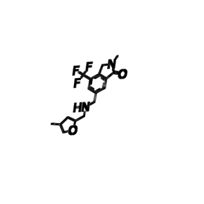 CC1COC(CNCc2cc3c(c(C(F)(F)F)c2)CN(C)C3=O)C1